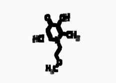 COCCn1ccc(=O)c(O)c1C.Cl